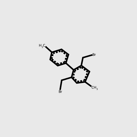 Cc1ccc(-c2c(CBr)cc(C)cc2CBr)cc1